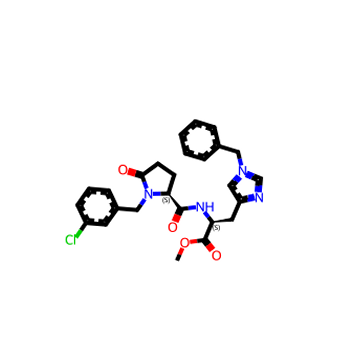 COC(=O)[C@H](Cc1cn(Cc2ccccc2)cn1)NC(=O)[C@@H]1CCC(=O)N1Cc1cccc(Cl)c1